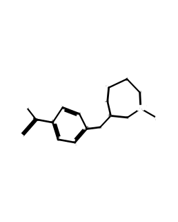 C=C(C)c1ccc(CC2CCCCN(C)C2)cc1